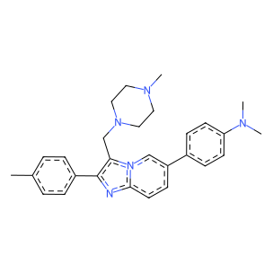 Cc1ccc(-c2nc3ccc(-c4ccc(N(C)C)cc4)cn3c2CN2CCN(C)CC2)cc1